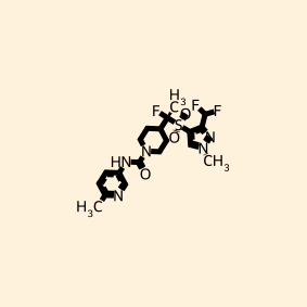 Cc1ccc(NC(=O)N2CCC([C@](C)(F)S(=O)(=O)c3cn(C)nc3C(F)F)CC2)cn1